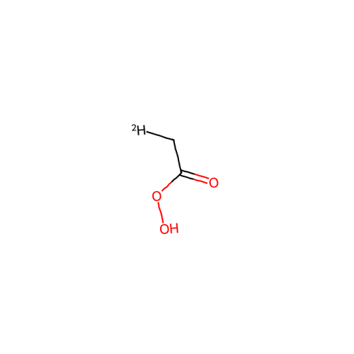 [2H]CC(=O)OO